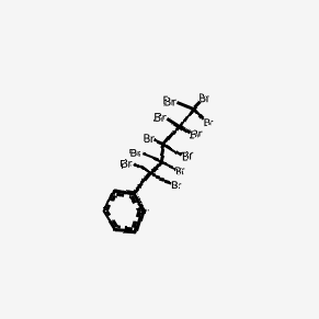 BrC(Br)(Br)C(Br)(Br)C(Br)(Br)C(Br)(Br)C(Br)(Br)c1[c]cccc1